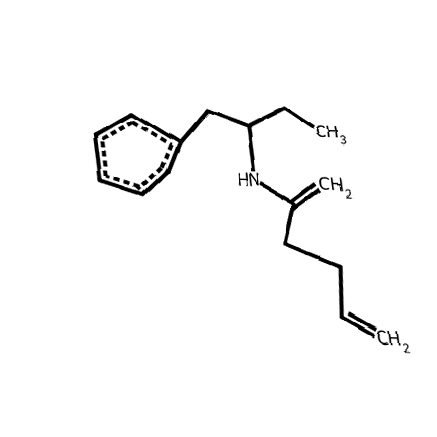 C=CCCC(=C)NC(CC)Cc1ccccc1